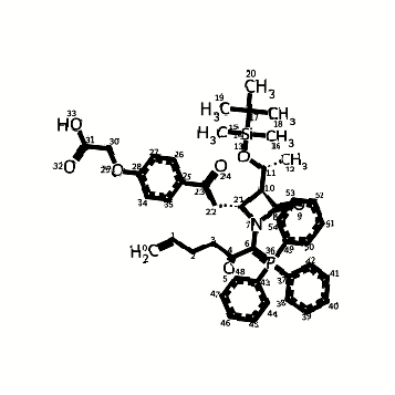 C=CCCC(=O)C(N1C(=O)[C@H]([C@@H](C)O[Si](C)(C)C(C)(C)C)[C@H]1CC(=O)c1ccc(OCC(=O)O)cc1)=P(c1ccccc1)(c1ccccc1)c1ccccc1